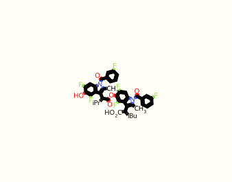 CCC(C)C(C(=O)O)c1c(C)n(C(=O)c2cccc(F)c2)c2cc(F)c(OC(=O)C(c3c(C)n(C(=O)c4cccc(F)c4)c4cc(F)c(O)c(F)c34)C(C)C)c(F)c12